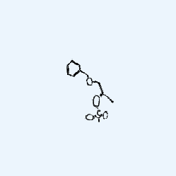 C[C@H](COCc1ccccc1)OS(C)(=O)=O